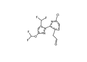 O=CCc1ccc(Cl)nc1-n1nc(OC(F)F)cc1C(F)F